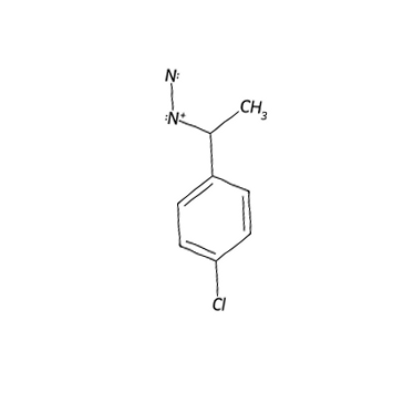 CC([N+][N])c1ccc(Cl)cc1